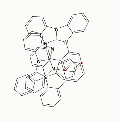 c1ccc([Si](c2ccccc2)(c2ccccc2-c2ccccc2N2c3ccccc3N3c4ccccc4NC32)c2ccccc2-c2ccccc2-n2c3ccccc3n3c4ccccc4nc23)cc1